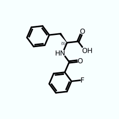 O=C(N[C@@H](Cc1ccccc1)C(=O)O)c1ccccc1F